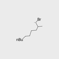 CCCCCCCCC(C)[CH]Br